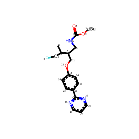 CC(CF)C(CNC(=O)OC(C)(C)C)COc1ccc(-c2ncccn2)cc1